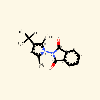 CCC(C)(C)c1cc(C)n(N2C(=O)c3ccccc3C2=O)c1C(=O)O